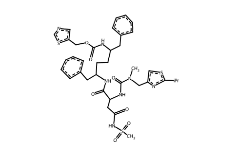 CC(C)c1nc(CN(C)C(=O)NC(CC(=O)NS(C)(=O)=O)C(=O)NC(CCC(Cc2ccccc2)NC(=O)OCc2cncs2)Cc2ccccc2)cs1